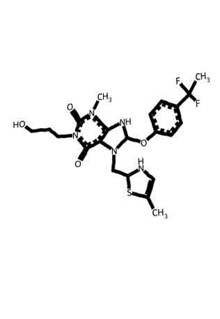 CC1=CNC(CN2c3c(n(C)c(=O)n(CCCO)c3=O)NC2Oc2ccc(C(C)(F)F)cc2)S1